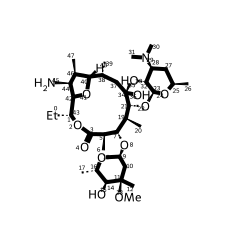 CC[C@H]1OC(=O)[C@H](C)[C@@H](O[C@H]2C[C@@](C)(OC)[C@@H](O)[C@H](C)O2)[C@H](C)[C@@H](O[C@@H]2O[C@H](C)C[C@H](N(C)C)[C@H]2O)[C@@](C)(O)C[C@@H](C)[C@@H]2O[C@]1(C)[C@@H](N)[C@H]2C